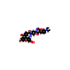 CCN(CC)c1ccc2cc(C(=O)NC3CCC(NC(=O)c4ccc(C=O)c(-c5c6ccc(=O)cc-6oc6cc(O)ccc56)c4)CC3)c(=O)oc2c1